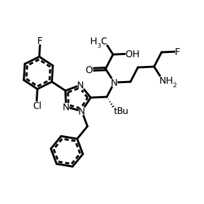 CC(O)C(=O)N(CCC(N)CF)[C@@H](c1nc(-c2cc(F)ccc2Cl)nn1Cc1ccccc1)C(C)(C)C